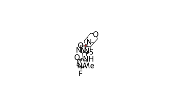 CNC(=O)Nc1nc2c(s1)C1COCC(C2)N1c1nc(-c2ccc(F)cc2)no1